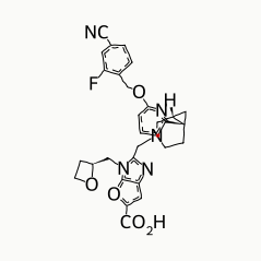 N#Cc1ccc(COc2cccc([C@@]34CCN(Cc5nc6cc(C(=O)O)oc6n5C[C@@H]5CCO5)C[C@@H]3C4)n2)c(F)c1